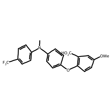 COc1ccc(Oc2ccc(N(C)c3ccc(C(F)(F)F)cc3)cc2)c(C(=O)O)c1